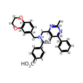 CCCCc1c(CN(Cc2ccc(C(=O)O)cc2)Cc2ccc3c(c2)OCCO3)nc(C)nc1-c1ccccc1